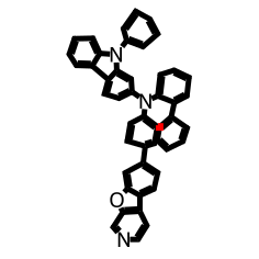 c1ccc(-c2ccccc2N(c2ccc(-c3ccc4c(c3)oc3cnccc34)cc2)c2ccc3c4ccccc4n(-c4ccccc4)c3c2)cc1